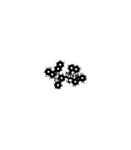 CC[C@H]1C(c2cc(-n3c4cc5ccccc5cc4c4c5ccccc5ccc43)c3oc4ccccc4c3c2)N=C(c2cccc3ccccc23)NC1c1cccc2c1sc1ccccc12